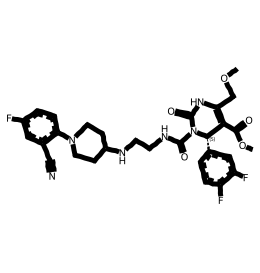 COCC1=C(C(=O)OC)[C@H](c2ccc(F)c(F)c2)N(C(=O)NCCNC2CCN(c3ccc(F)cc3C#N)CC2)C(=O)N1